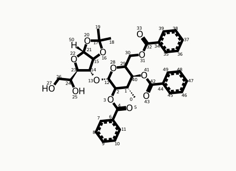 C[C@@H]1C(OC(=O)c2ccccc2)[C@H](O[C@H]2C3OC(C)(C)O[C@H]3O[C@@H]2C(O)CO)OC(COC(=O)c2ccccc2)[C@H]1OC(=O)c1ccccc1